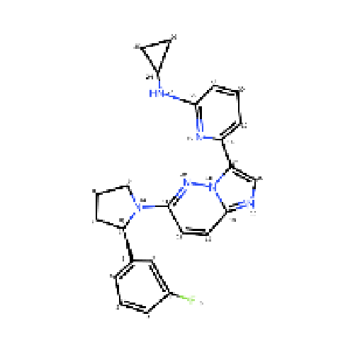 Fc1cccc([C@H]2CCCN2c2ccc3ncc(-c4cccc(NC5CC5)n4)n3n2)c1